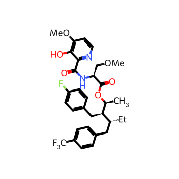 CC[C@H](Cc1ccc(C(F)(F)F)cc1)[C@@H](Cc1ccc(F)cc1)[C@H](C)OC(=O)[C@H](COC)NC(=O)c1nccc(OC)c1O